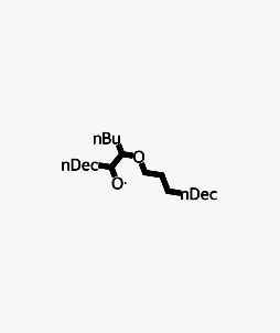 CCCCCCCCCCCCCOC(CCCC)C([O])CCCCCCCCCC